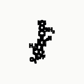 CC(=O)N1CC(F)(F)c2c(Sc3nc(C#N)c(N4CCC5(CC4)Cc4ncsc4[C@H]5N)nc3N)cccc21